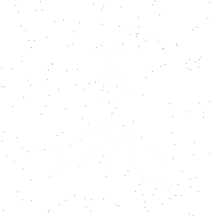 CCCC(C)Nc1ncc2c(C3CCN(C(=O)C4CCN(C)C4)CC3)cn(C3CCC(O)CC3)c2n1